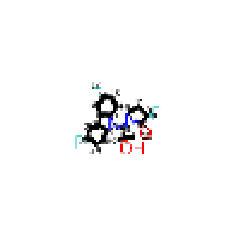 CC(C)(O)[C@H](N1CCC(F)C1=O)n1c2ccc(F)cc2c2cc(F)ccc21